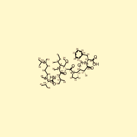 CC[C@H](C)[C@@H]([C@@H](CC(=O)N1CCC[C@H]1[C@H](OC)[C@@H](C)C(=O)N[C@@H](Cc1ccccc1)C(=O)O)OC)N(C)C(=O)[C@@H](NC(=O)[C@H](C(C)C)N(C)CCCN(C)C(C)C)C(C)C